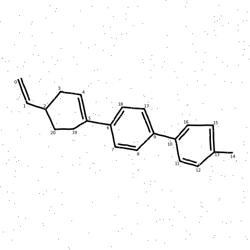 C=CC1CC=C(c2ccc(-c3ccc(C)cc3)cc2)CC1